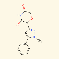 Cn1nc(C2OCC(=O)NC2=O)cc1-c1ccccc1